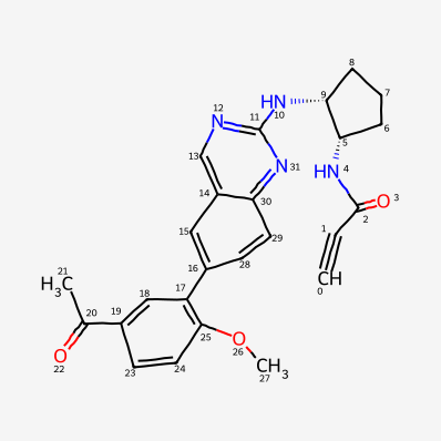 C#CC(=O)N[C@H]1CCC[C@H]1Nc1ncc2cc(-c3cc(C(C)=O)ccc3OC)ccc2n1